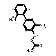 CC(=O)SOc1ccc(-c2ccccc2N)cc1N